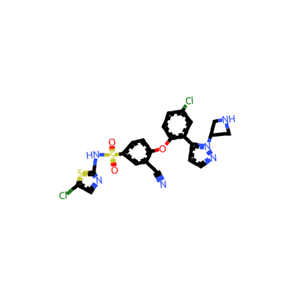 N#Cc1cc(S(=O)(=O)Nc2ncc(Cl)s2)ccc1Oc1ccc(Cl)cc1-c1ccnn1C1CNC1